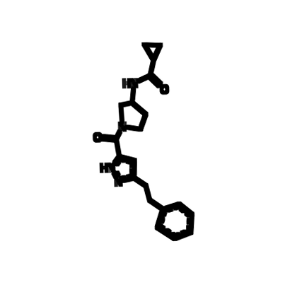 O=C(NC1CCN(C(=O)c2cc(CCc3ccccc3)n[nH]2)C1)C1CC1